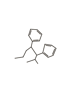 CCCC(c1ccccc1)C(c1ccccc1)C(C)C